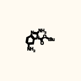 CC(C)(C)OC(=O)n1c(N)nc2ccc(N)cc21